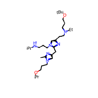 CCN(CCCOC(C)(C)C)CCc1cn(CCCNC(C)C)c(Cc2cn(CCCOC(C)C)c(C)n2)n1